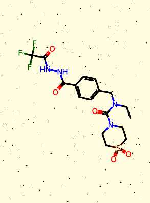 CCN(Cc1ccc(C(=O)NNC(=O)C(F)(F)F)cc1)C(=O)N1CCS(=O)(=O)CC1